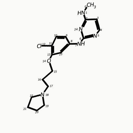 CNc1ccnc(Nc2ccc(Cl)c(OCCCN3CCCC3)c2)n1